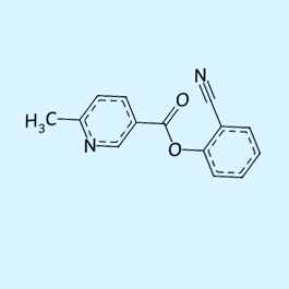 Cc1ccc(C(=O)Oc2ccccc2C#N)cn1